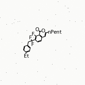 CCCCCc1cc2ccc(C(F)(F)Cc3ccc(CC)cc3)c(F)c2c(=O)o1